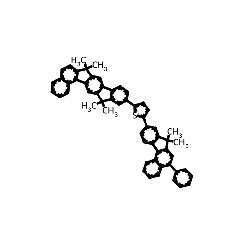 CC1(C)c2cc(-c3ccc(-c4ccc5c(c4)C(C)(C)c4cc(-c6ccccc6)c6ccccc6c4-5)s3)ccc2-c2cc3c(cc21)-c1c(ccc2ccccc12)C3(C)C